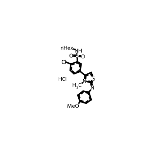 CCCCCCNS(=O)(=O)c1cc(-c2csc(=Nc3ccc(OC)cc3)n2C)ccc1Cl.Cl